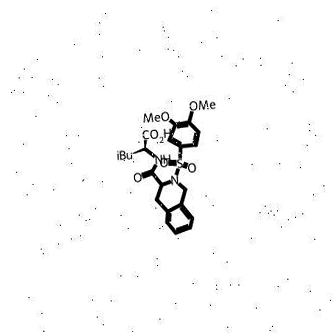 CC[C@H](C)[C@H](NC(=O)C1Cc2ccccc2CN1S(=O)(=O)c1ccc(OC)c(OC)c1)C(=O)O